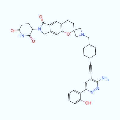 Nc1nnc(-c2ccccc2O)cc1C#CC1CCC(CN2CC3(CCc4cc5c(cc4O3)CN(C3CCC(=O)NC3=O)C5=O)C2)CC1